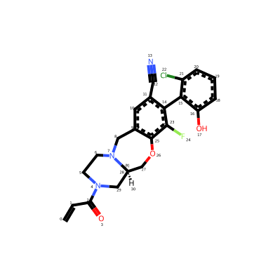 C=CC(=O)N1CCN2Cc3cc(C#N)c(-c4c(O)cccc4Cl)c(F)c3OC[C@H]2C1